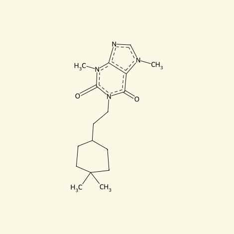 Cn1cnc2c1c(=O)n(CCC1CCC(C)(C)CC1)c(=O)n2C